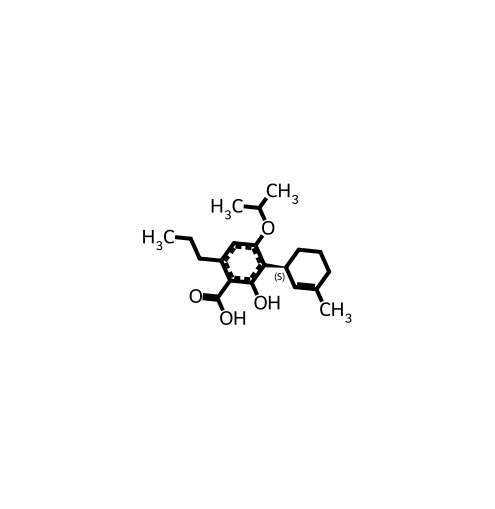 CCCc1cc(OC(C)C)c([C@@H]2C=C(C)CCC2)c(O)c1C(=O)O